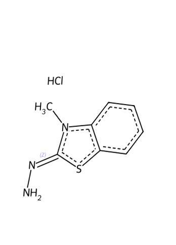 Cl.Cn1/c(=N/N)sc2ccccc21